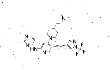 CN(C)CCC1CCN(c2cc(Nc3ccncn3)ncc2C#Cc2cnn(C(F)(F)F)c2)CC1